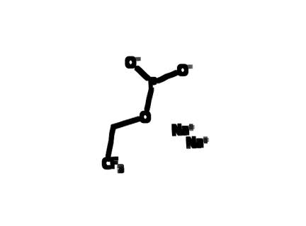 [Na+].[Na+].[O-]P([O-])OCC(F)(F)F